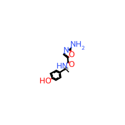 C[C@H](NC(=O)c1cnc(N)o1)c1ccc(O)cc1